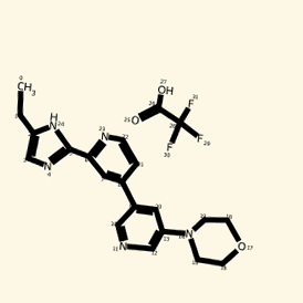 CCc1cnc(-c2cc(-c3cncc(N4CCOCC4)c3)ccn2)[nH]1.O=C(O)C(F)(F)F